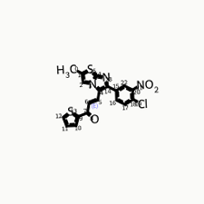 Cc1cn2c(/C=C/C(=O)c3cccs3)c(-c3ccc(Cl)c([N+](=O)[O-])c3)nc2s1